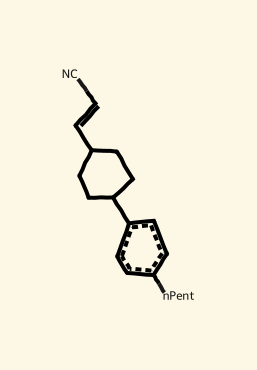 CCCCCc1ccc(C2CCC(C=CC#N)CC2)cc1